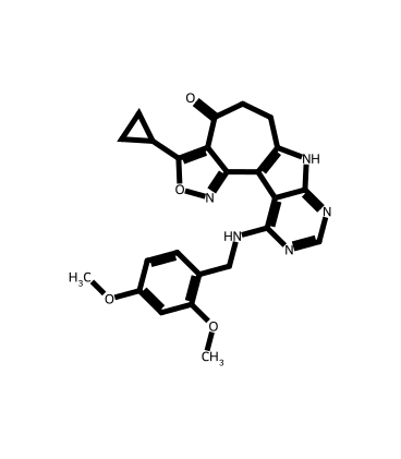 COc1ccc(CNc2ncnc3[nH]c4c(c23)-c2noc(C3CC3)c2C(=O)CC4)c(OC)c1